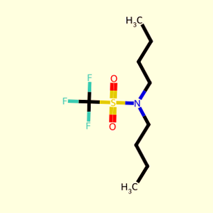 CCCCN(CCCC)S(=O)(=O)C(F)(F)F